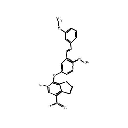 COc1cccc(/C=C/c2cc(Oc3c(C)cc([N+](=O)[O-])c4c3CCC4)ccc2OC)c1